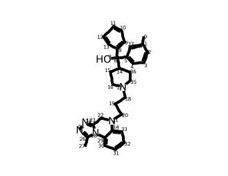 Cc1cccc(C(O)(c2ccccc2)C2CCN(CCCN3Cc4nnc(C)n4-c4ccccc43)CC2)c1